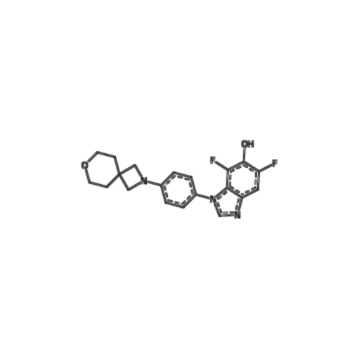 Oc1c(F)cc2ncn(-c3ccc(N4CC5(CCOCC5)C4)cc3)c2c1F